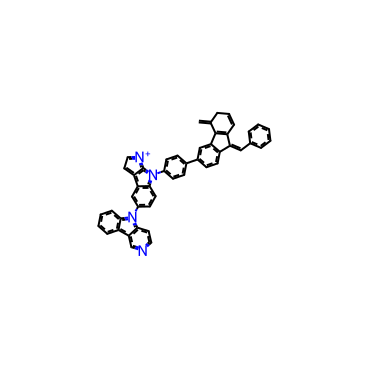 C=C1CC=CC2=C1c1cc(-c3ccc(-n4c5c(c6cc(-n7c8ccccc8c8cnccc87)ccc64)=CC=[N+]=5)cc3)ccc1/C2=C/c1ccccc1